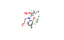 O=C(O)O.O=c1ccn(C2CC2)c2c(OC(F)F)c(F)c(F)cc12